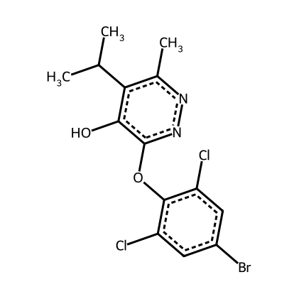 Cc1nnc(Oc2c(Cl)cc(Br)cc2Cl)c(O)c1C(C)C